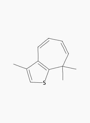 Cc1csc2c1C=CC=CC2(C)C